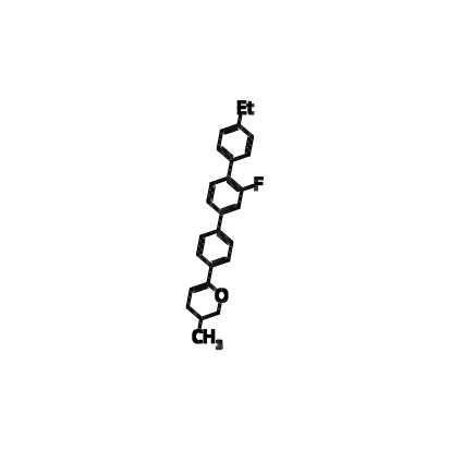 CCc1ccc(-c2ccc(-c3ccc(C4=CCC(C)CO4)cc3)cc2F)cc1